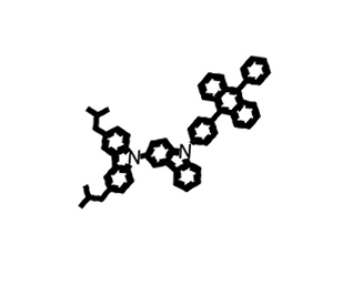 CC(C)Cc1ccc2c(c1)c1cc(CC(C)C)ccc1n2-c1ccc2c(c1)c1ccccc1n2-c1ccc(-c2c3ccccc3c(-c3ccccc3)c3ccccc23)cc1